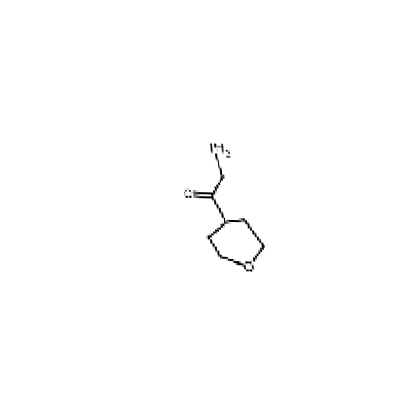 O=C(CP)C1CCOCC1